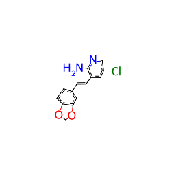 Nc1ncc(Cl)cc1C=Cc1ccc2c(c1)OCO2